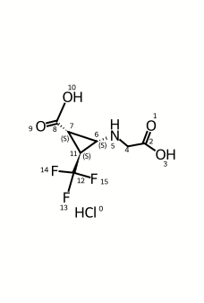 Cl.O=C(O)CN[C@H]1[C@@H](C(=O)O)[C@@H]1C(F)(F)F